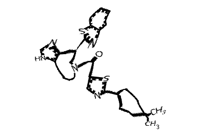 CC1(C)CC=C(c2ncc(C(=O)N3CCc4[nH]cnc4[C@H]3c3nc4ccccc4s3)s2)CC1